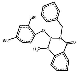 CN1c2ccccc2C(=O)N(Cc2ccccc2)P1Oc1ccc(C(C)(C)C)cc1C(C)(C)C